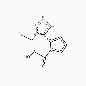 O=C(CO)c1ccco1.OCc1ccco1